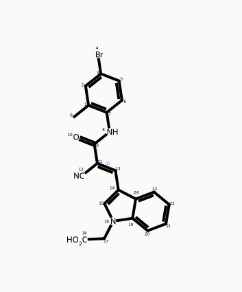 Cc1cc(Br)ccc1NC(=O)/C(C#N)=C/c1cn(CC(=O)O)c2ccccc12